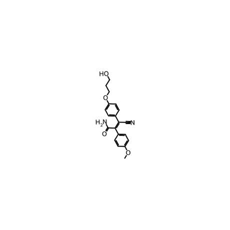 COc1ccc(C(C(N)=O)=C(C#N)c2ccc(OCCCO)cc2)cc1